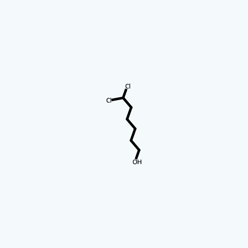 OCCCCCC(Cl)Cl